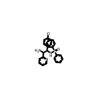 NC(c1ccccn1)C(NP(=O)(c1ccccc1)c1ccccc1)c1ccc(Cl)cc1